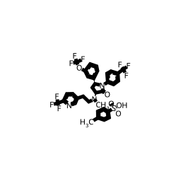 CN(CCc1ccc(C(F)(F)F)nc1)[C@@H]1C[C@H](c2cccc(OC(F)(F)F)c2)N(c2ccc(C(F)(F)F)cc2)C1=O.Cc1ccc(S(=O)(=O)O)cc1